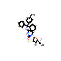 C#C[C@]1(CC)O[C@@H](n2ccc(NC(c3ccccc3)(c3ccccc3)c3ccc(OC)cc3)nc2=O)[C@H](F)[C@@H]1C